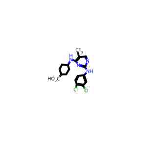 O=C(O)C1CCC(Nc2nc(Nc3ccc(Cl)c(Cl)c3)ncc2C(F)(F)F)CC1